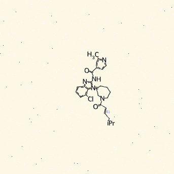 Cc1cc(C(=O)Nc2nc3cccc(Cl)c3n2[C@@H]2CCCCN(C(=O)/C=C/CC(C)C)C2)ccn1